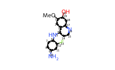 COc1cc2c(Nc3ccc(N)cc3F)ccnc2cc1O